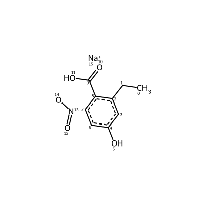 CCc1cc(O)ccc1C(=O)O.O=N[O-].[Na+]